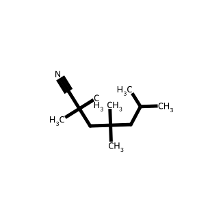 CC(C)CC(C)(C)CC(C)(C)C#N